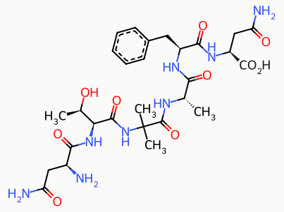 C[C@H](NC(=O)C(C)(C)NC(=O)[C@@H](NC(=O)[C@@H](N)CC(N)=O)[C@@H](C)O)C(=O)N[C@@H](Cc1ccccc1)C(=O)N[C@@H](CC(N)=O)C(=O)O